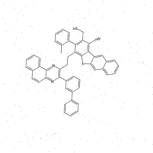 CCCc1c(CS)c(-c2ccccc2C)c(CCc2nc3c(ccc4ccccc43)nc2-c2cccc(-c3ccccc3)c2)c2sc3cc4ccccc4cc3c12